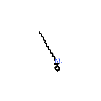 CCCCCCCCCCCCCCCCCCNC(C)(C)c1ccccc1